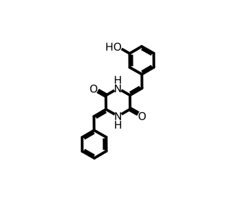 O=c1[nH]/c(=C\c2cccc(O)c2)c(=O)[nH]/c1=C\c1ccccc1